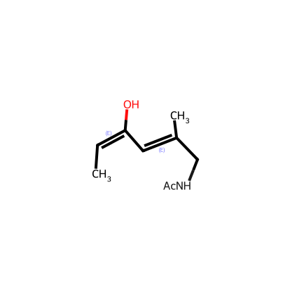 C/C=C(O)\C=C(/C)CNC(C)=O